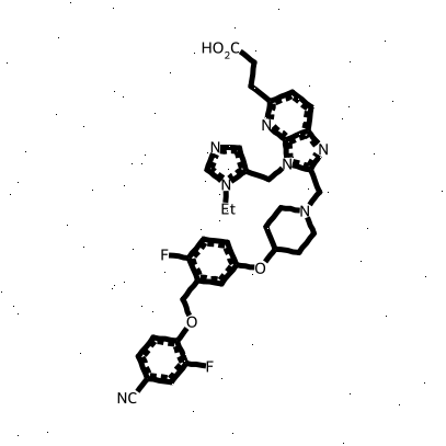 CCn1cncc1Cn1c(CN2CCC(Oc3ccc(F)c(COc4ccc(C#N)cc4F)c3)CC2)nc2ccc(CCC(=O)O)nc21